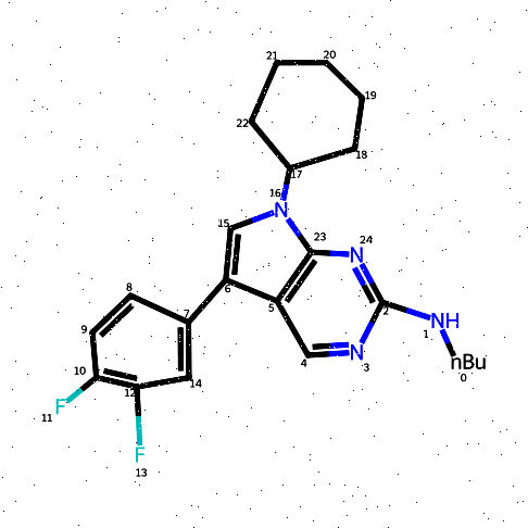 CCCCNc1ncc2c(-c3ccc(F)c(F)c3)cn(C3CCCCC3)c2n1